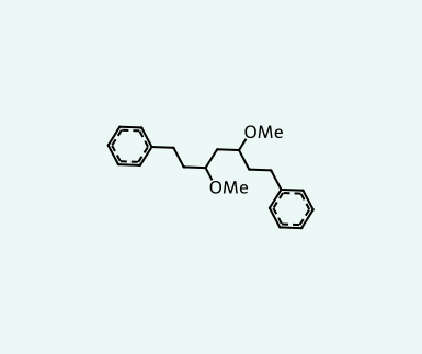 COC(CCc1ccccc1)CC(CCc1ccccc1)OC